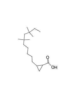 CCC(C)(C)CC(C)(C)CCCCCC1CC1C(=O)O